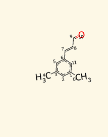 Cc1cc(C)cc(C=CC=O)c1